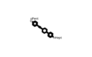 CCCCCCCc1ccc(C2CCC(C#Cc3ccc(OCCCCC)cc3)CC2)cc1